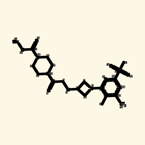 Cc1c(N2CC(OCC(=O)N3CCN(C(=O)OC(C)(C)C)CC3)C2)nc(S(C)(=O)=O)nc1C(F)(F)F